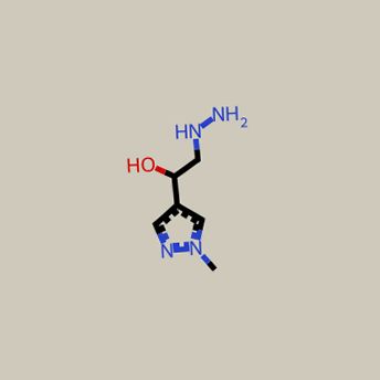 Cn1cc(C(O)CNN)cn1